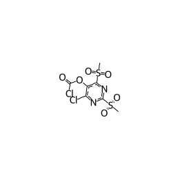 CS(=O)(=O)c1nc(Cl)c(OC(=O)Cl)c(S(C)(=O)=O)n1